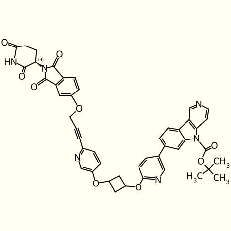 CC(C)(C)OC(=O)n1c2ccncc2c2ccc(-c3ccc(OC4CC(Oc5ccc(C#CCOc6ccc7c(c6)C(=O)N([C@@H]6CCC(=O)NC6=O)C7=O)nc5)C4)nc3)cc21